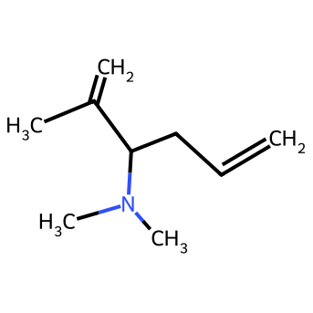 C=CCC(C(=C)C)N(C)C